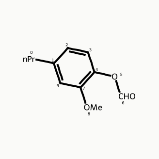 CCCc1ccc(OC=O)c(OC)c1